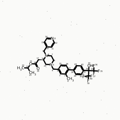 Cc1cc(CN2CCN(Cc3ccncc3)[C@H](CC(=O)OC(C)C)C2)ccc1-c1ccc(C(O)(C(F)(F)F)C(F)(F)F)cc1